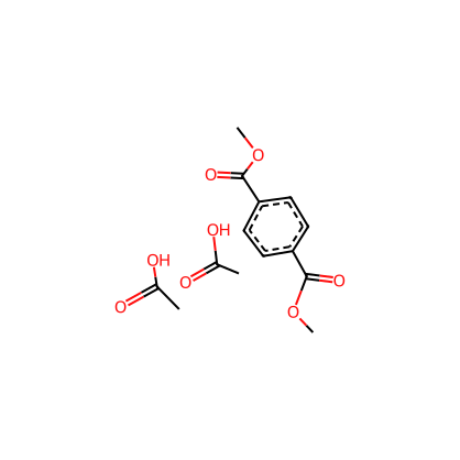 CC(=O)O.CC(=O)O.COC(=O)c1ccc(C(=O)OC)cc1